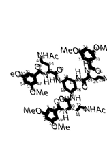 COc1cc(OC)cc(C(=O)N[C@@H](CCNC(C)=O)C(=O)N[C@H]2C[C@@H](NC(=O)[C@H](CCNC(C)=O)NC(=O)c3cc(OC)cc(OC)c3)C[C@@H](NC(=O)[C@H](CCNC(C)=O)NC(=O)c3cc(OC)cc(OC)c3)C2)c1